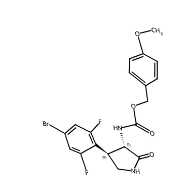 COc1ccc(COC(=O)N[C@@H]2C(=O)NC[C@H]2c2c(F)cc(Br)cc2F)cc1